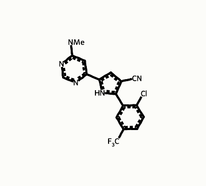 CNc1cc(-c2cc(C#N)c(-c3cc(C(F)(F)F)ccc3Cl)[nH]2)ncn1